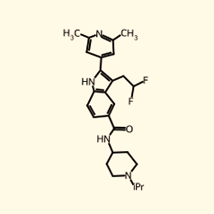 Cc1cc(-c2[nH]c3ccc(C(=O)NC4CCN(C(C)C)CC4)cc3c2CC(F)F)cc(C)n1